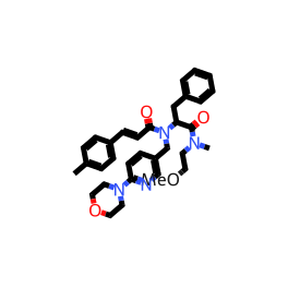 COCCN(C)C(=O)C(Cc1ccccc1)N(Cc1ccc(N2CCOCC2)nc1)C(=O)C=Cc1ccc(C)cc1